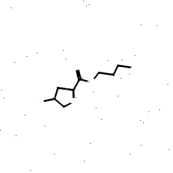 O=C(OCCCI)C1CC(F)CN1